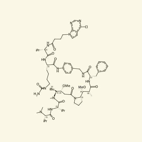 CC[C@H](C)[C@@H]([C@@H](CC(=O)N1CCC[C@H]1[C@H](OC)[C@@H](C)C(=O)N[C@@H](Cc1ccccc1)C(=O)NCc1ccc(NC(=O)[C@H](CCCCNC(N)=O)NC(=O)[C@@H](NC(=O)CCCn2ccc3c(Cl)ncnc32)C(C)C)cc1)OC)N(C)C(=O)[C@@H](NC(=O)[C@H](C(C)C)N(C)C)C(C)C